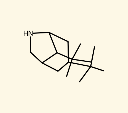 CC(C)(C)C1CC2CNC(C1)C2C(C)(C)C